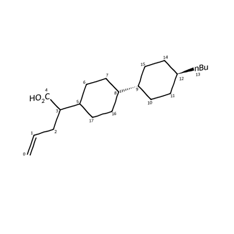 C=CCC(C(=O)O)C1CCC([C@H]2CC[C@H](CCCC)CC2)CC1